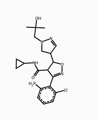 CC(C)(O)CN1CC(C2ON=C(c3c(P)cccc3Cl)C2C(=O)NC2CC2)C=N1